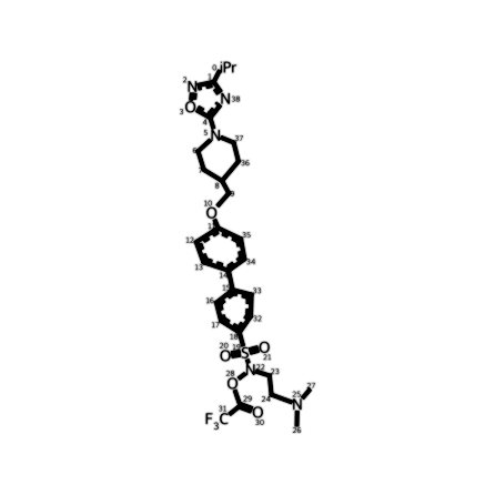 CC(C)c1noc(N2CCC(COc3ccc(-c4ccc(S(=O)(=O)N(CCN(C)C)OC(=O)C(F)(F)F)cc4)cc3)CC2)n1